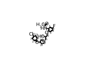 CC(=O)Nc1cc(F)ccc1OCC(O)CN1CCC(Oc2ccc(Cl)cc2)C1